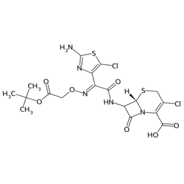 CC(C)(C)OC(=O)CON=C(C(=O)NC1C(=O)N2C(C(=O)O)=C(Cl)CS[C@@H]12)c1nc(N)sc1Cl